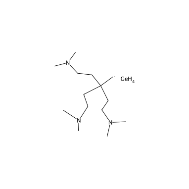 [CH2]C(CCN(C)C)(CCN(C)C)CCN(C)C.[GeH4]